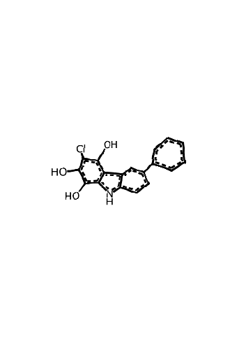 Oc1c(Cl)c(O)c2c([nH]c3ccc(-c4ccccc4)cc32)c1O